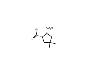 NC(=O)[C@H]1CC(F)(F)CN1C(=O)O